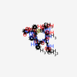 C[C@@H](O)[C@@H]1NC(=O)[C@H](CCCCNC(=O)OC(C)(C)C)NC(=O)[C@@H](Cc2c[nH]c3ccccc23)NC(=O)[C@H](Cc2ccccc2)NC(=O)[C@@H](NC(=O)[C@@H](Cc2ccccc2)NC(=O)CN2C(=O)C=CC2O)CSSC[C@@H](C(=O)N[C@H](CO)[C@@H](C)O)NC1=O